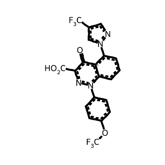 O=C(O)c1nn(-c2ccc(OC(F)(F)F)cc2)c2cccc(-n3cc(C(F)(F)F)cn3)c2c1=O